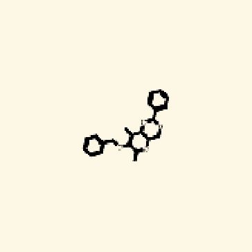 CC1OC2COC(c3ccccc3)OC2C(C)C1OCc1ccccc1